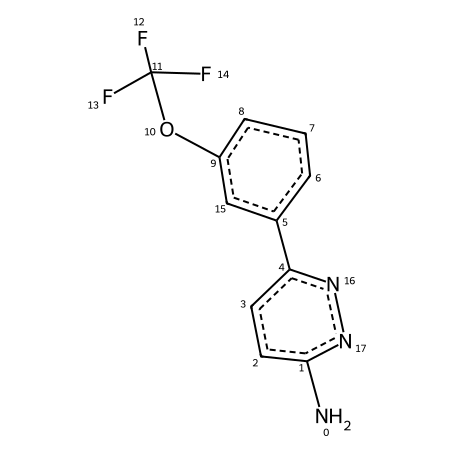 Nc1ccc(-c2cccc(OC(F)(F)F)c2)nn1